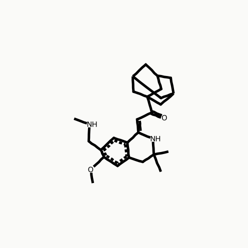 CNCc1cc2c(cc1OC)CC(C)(C)NC2=CC(=O)C12CC3CC(CC(C3)C1)C2